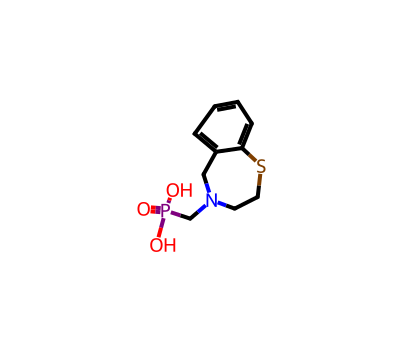 O=P(O)(O)CN1CCSc2ccccc2C1